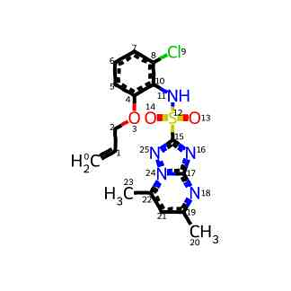 C=CCOc1cccc(Cl)c1NS(=O)(=O)c1nc2nc(C)cc(C)n2n1